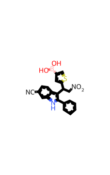 N#Cc1ccc2c(C(C[N+](=O)[O-])c3cc(B(O)O)cs3)c(-c3ccccc3)[nH]c2c1